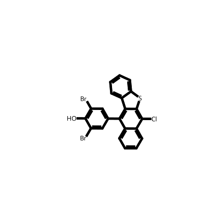 Oc1c(Br)cc(-c2c3ccccc3c(Cl)c3sc4ccccc4c23)cc1Br